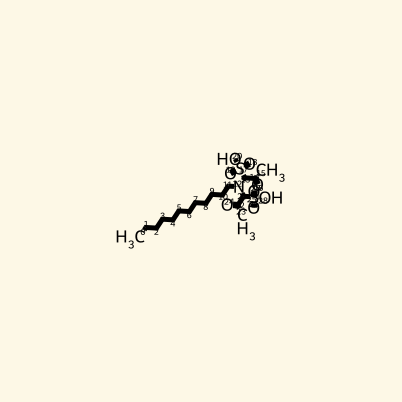 CCCCCCCCCCCCN(C(C(C)=O)S(=O)(=O)O)C(C(C)=O)S(=O)(=O)O